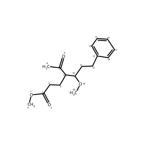 COC(=O)CCC(C(C)=O)C(CCc1ccccc1)OC